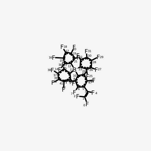 FC(F)=C(F)c1c(F)c(F)c([B-](c2c(F)c(F)c(F)c(F)c2F)(c2c(F)c(F)c(F)c(F)c2F)c2c(F)c(F)c(F)c(F)c2F)c(F)c1F